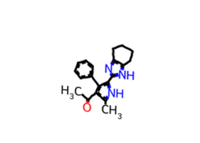 CC(=O)c1c(C)[nH]c(-c2nc3c([nH]2)CCCC3)c1-c1ccccc1